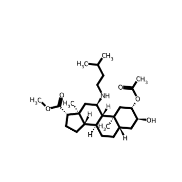 COC(=O)[C@H]1CC[C@H]2[C@@H]3CC[C@H]4C[C@H](O)[C@@H](OC(C)=O)C[C@]4(C)[C@H]3[C@H](NCCC(C)C)C[C@]12C